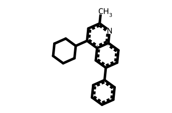 Cc1cc(C2CCCCC2)c2cc(-c3ccccc3)ccc2n1